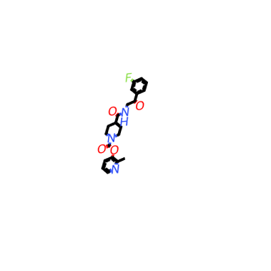 Cc1ncccc1OC(=O)N1CCC(C(=O)NCC(=O)c2cccc(F)c2)CC1